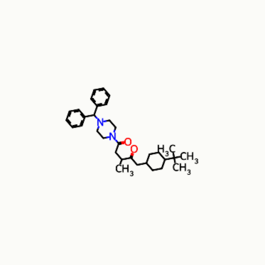 CC(CC(=O)N1CCN(C(c2ccccc2)c2ccccc2)CC1)C(=O)CC1CCC(C(C)(C)C)CC1